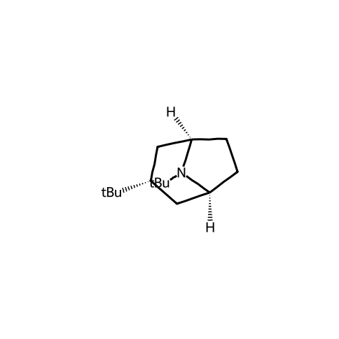 CC(C)(C)[C@@H]1C[C@H]2CC[C@@H](C1)N2C(C)(C)C